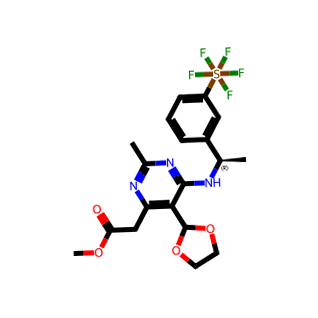 COC(=O)Cc1nc(C)nc(N[C@H](C)c2cccc(S(F)(F)(F)(F)F)c2)c1C1OCCO1